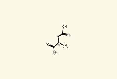 [NH]C(=O)[C@H](N)CC(=O)O